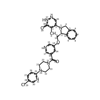 Cc1c(N2Cc3ccccc3[C@H]2COc2cncc(C(=O)N3CCN(c4ccc(Cl)cn4)CC3)c2)cn[nH]c1=O